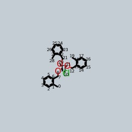 Cc1ccccc1C[O][Ti]([Cl])([O]Cc1ccccc1C)[O]Cc1ccccc1C